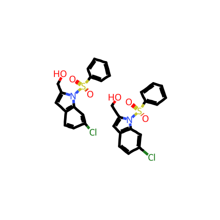 O=S(=O)(c1ccccc1)n1c(CO)cc2ccc(Cl)cc21.O=S(=O)(c1ccccc1)n1c(CO)cc2ccc(Cl)cc21